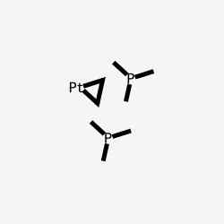 CP(C)C.CP(C)C.[CH2]1[CH2][Pt]1